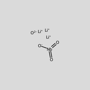 [Li+].[Li+].[Li+].[O-2].[O]=[Nb](=[O])[O-]